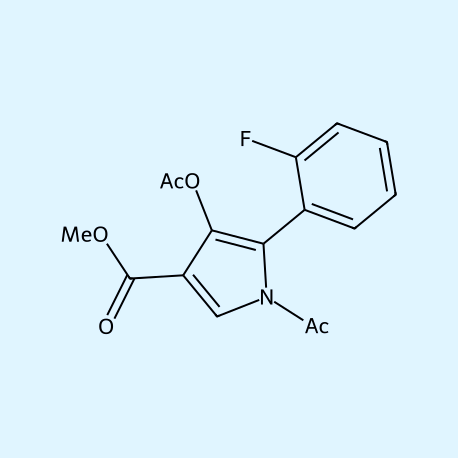 COC(=O)c1cn(C(C)=O)c(-c2ccccc2F)c1OC(C)=O